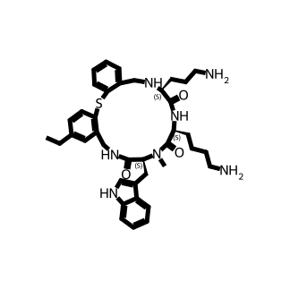 CCc1ccc2c(c1)CNC(=O)[C@H](Cc1c[nH]c3ccccc13)N(C)C(=O)[C@H](CCCCN)NC(=O)[C@H](CCCN)NCc1ccccc1S2